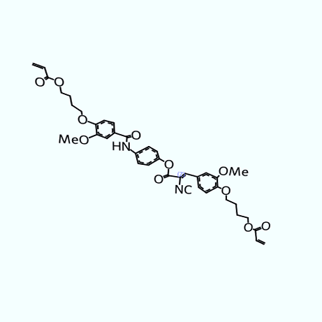 [C-]#[N+]/C(=C\c1ccc(OCCCCOC(=O)C=C)c(OC)c1)C(=O)Oc1ccc(NC(=O)c2ccc(OCCCCOC(=O)C=C)c(OC)c2)cc1